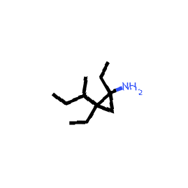 CCC(C)C1(CC)CC1(N)CC